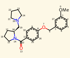 COc1cccc(COc2ccc(C(=O)N3CCC[C@H]3CN3CCCC3)cc2)c1